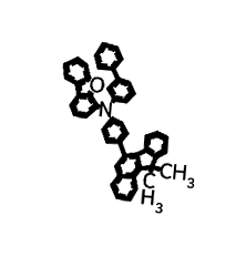 CC1(C)c2ccccc2-c2c(-c3ccc(N(c4cccc(-c5ccccc5)c4)c4cccc5c4oc4ccccc45)cc3)cc3ccccc3c21